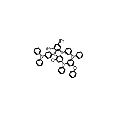 CC(C)c1cc(C(C)C)c(B2c3ccc(N(c4ccccc4)c4ccccc4)cc3Oc3cc(N(c4ccccc4)c4cc(Oc5ccccc5)cc(N(c5ccccc5)c5ccccc5)c4)ccc32)c(C(C)C)c1